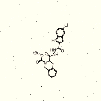 CC(C)(C)OC(=O)N1Cc2ccccc2CC1C(=O)NNC(=O)c1cc2cc(Cl)ccc2[nH]1